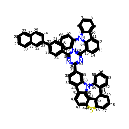 c1ccc(-n2c3ccccc3c3cccc(-c4nc(-c5ccc(-c6ccc7ccccc7c6)cc5)nc(-c5ccc6c7ccc8sc9cccc%10c%11ccccc%11n(c6c5)c7c8c9%10)n4)c32)cc1